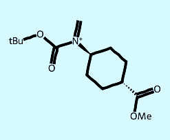 C=[N+](C(=O)OC(C)(C)C)[C@H]1CC[C@H](C(=O)OC)CC1